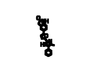 Cc1nc(-c2ccc(-c3ccc4c(c3)CC(=O)N4)o2)[nH]c1-c1ccccc1